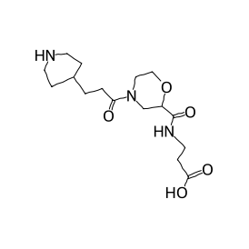 O=C(O)CCNC(=O)C1CN(C(=O)CCC2CCNCC2)CCO1